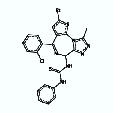 CCc1cc2c(s1)-n1c(C)nnc1C(NC(=S)Nc1ccccc1)N=C2c1ccccc1Cl